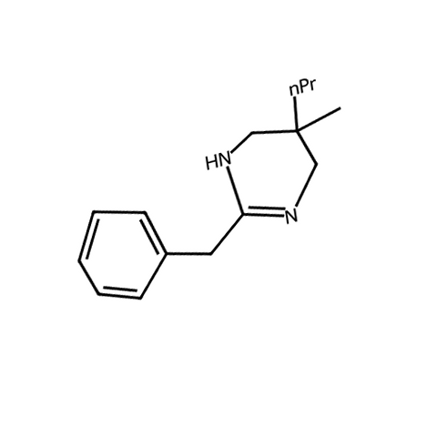 CCCC1(C)CN=C(Cc2ccccc2)NC1